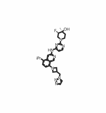 CC(C)c1ccc(N2CC(Cn3ccnn3)C2)c2cnc(Nc3ccnc(N4CC[C@](C)(O)[C@H](F)C4)n3)cc12